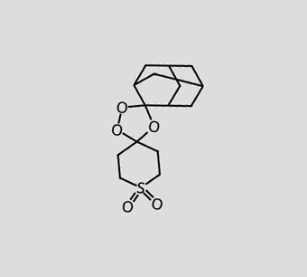 O=S1(=O)CCC2(CC1)OOC1(O2)C2CC3CC(C2)CC1C3